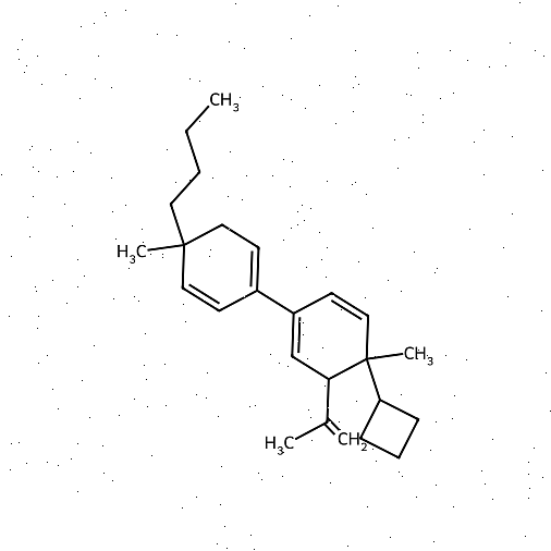 C=C(C)C1C=C(C2=CCC(C)(CCCC)C=C2)C=CC1(C)C1CCC1